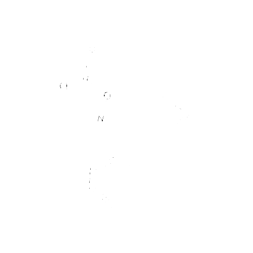 O=C(Cl)ON=C(c1ccccc1)c1ccccc1